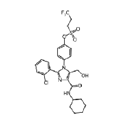 O=C(NC1CCCCC1)c1nc(-c2ccccc2Cl)n(-c2ccc(OS(=O)(=O)CCC(F)(F)F)cc2)c1CO